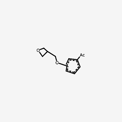 CC(=O)c1cccc(OCC2COC2)c1